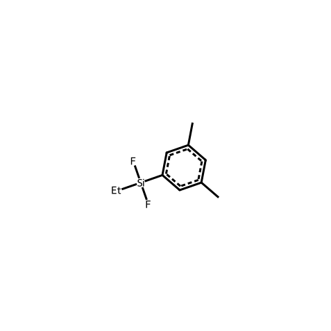 CC[Si](F)(F)c1cc(C)cc(C)c1